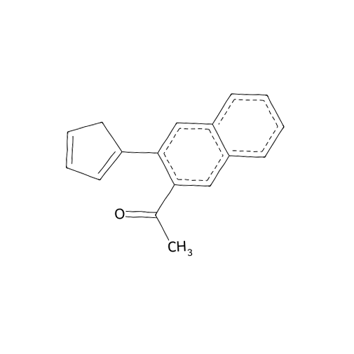 CC(=O)c1cc2ccccc2cc1C1=CC=CC1